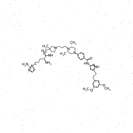 COc1cc(CCc2cc(NC(=O)c3ccc(N4C[C@@H](C)N(CCCN5C[C@H](NC(=O)[C@@H](N)CCCn6ccnc6N)C(C)(C)C5)[C@@H](C)C4)cc3)n[nH]2)cc(OC)c1